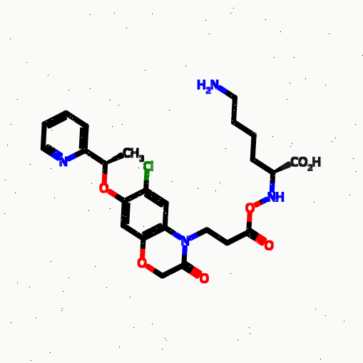 C[C@@H](Oc1cc2c(cc1Cl)N(CCC(=O)ON[C@@H](CCCCN)C(=O)O)C(=O)CO2)c1ccccn1